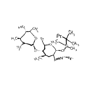 CCC1O[C@@H](O[Si](C)(C)C(C)(C)C(C)C)C(N=[N+]=[N-])[C@@H](C)[C@@H]1O[C@@H]1OC(C)[C@@H](O)[C@H](C)C1C